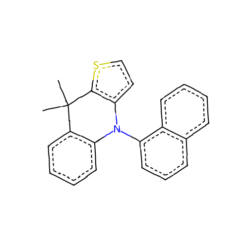 CC1(C)c2ccccc2N(c2cccc3ccccc23)c2ccsc21